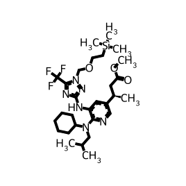 COC(=O)C[C@@H](C)c1cnc(N(CC(C)C)C2CCCCC2)c(Nc2nc(C(F)(F)F)n(COCC[Si](C)(C)C)n2)c1